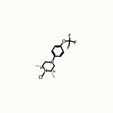 C[C@@H]1CN(c2ccc(OC(F)(F)F)cc2)C[C@H](C)N1Cl